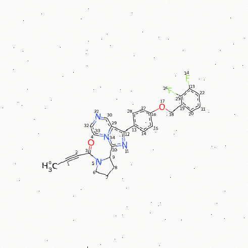 CC#CC(=O)N1CCCC1c1nc(-c2ccc(OCc3cccc(F)c3F)cc2)c2cnccn12